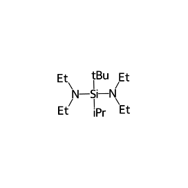 CCN(CC)[Si](C(C)C)(N(CC)CC)C(C)(C)C